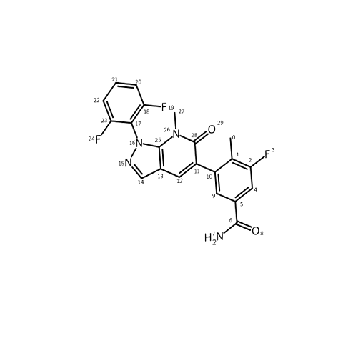 Cc1c(F)cc(C(N)=O)cc1-c1cc2cnn(-c3c(F)cccc3F)c2n(C)c1=O